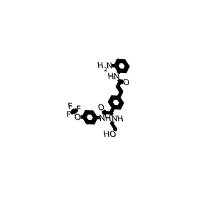 Nc1ccccc1NC(=O)/C=C/c1ccc(C(NCCO)C(=O)Nc2ccc(OC(F)(F)F)cc2)cc1